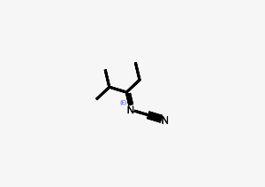 CC/C(=N\C#N)C(C)C